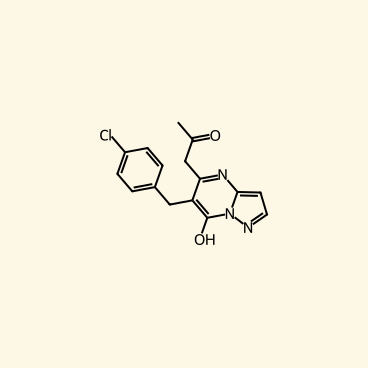 CC(=O)Cc1nc2ccnn2c(O)c1Cc1ccc(Cl)cc1